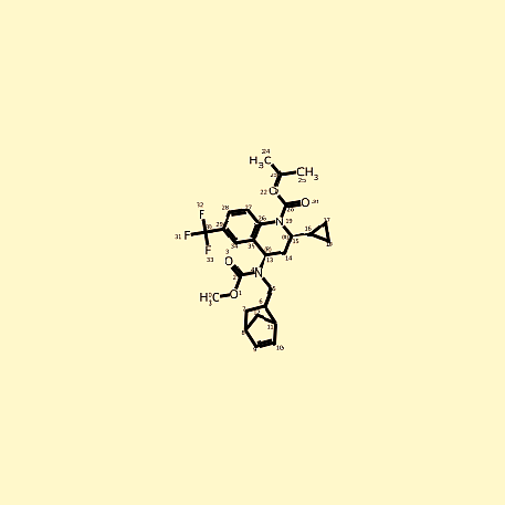 COC(=O)N(CC1CC2C=CC1C2)[C@@H]1C[C@H](C2CC2)N(C(=O)OC(C)C)c2ccc(C(F)(F)F)cc21